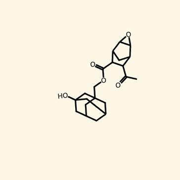 CC(=O)C1C2CC(C3OC23)C1C(=O)OCC12CC3CC(CC(O)(C3)C1)C2